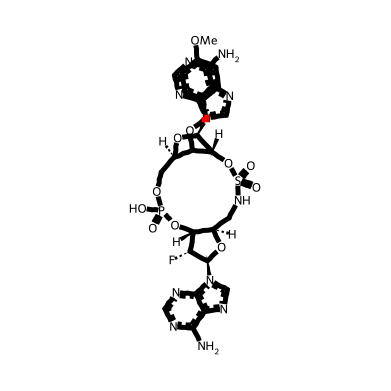 COc1ccc(COC2[C@H]3OS(=O)(=O)NC[C@H]4O[C@@H](n5cnc6c(N)ncnc65)[C@H](F)[C@@H]4OP(=O)(O)OC[C@H]2O[C@H]3n2cnc3c(N)ncnc32)cc1